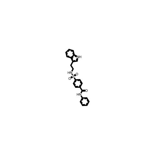 O=C(Nc1ccccc1)c1ccc(S(=O)(=O)NCCc2c[nH]c3ccccc23)cc1